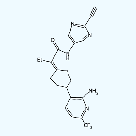 C#Cc1ncc(NC(=O)C(CC)=C2CCC(c3ccc(C(F)(F)F)nc3N)CC2)cn1